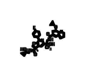 C[C@]1(C(=O)NCC2(O)CC2)COc2c1cc([C@@](O)(CNC(=O)c1cc(OC3CC3)c3ncccc3c1)C(F)(F)F)nc2-c1ccc(F)cc1